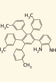 Cc1cccc(-c2cc(-c3cccc(N)c3N)c(-c3cccc(C)c3)c(-c3cccc(C)c3)c2-c2cccc(C)c2)c1